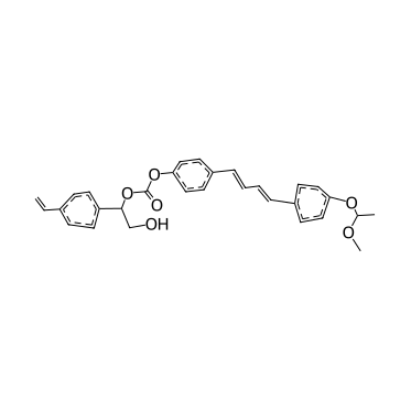 C=Cc1ccc(C(CO)OC(=O)Oc2ccc(C=CC=Cc3ccc(OC(C)OC)cc3)cc2)cc1